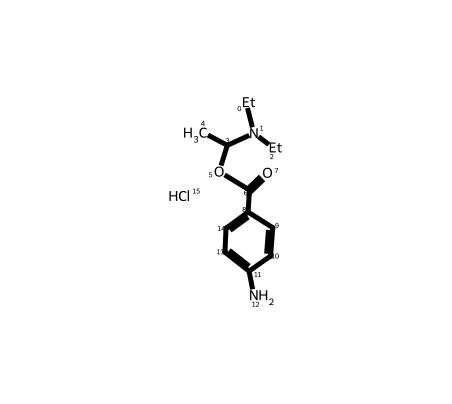 CCN(CC)C(C)OC(=O)c1ccc(N)cc1.Cl